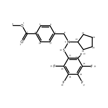 COC(=O)c1ccc(CN(Sc2c(F)c(F)c(F)c(F)c2F)C2CCCC2)cc1